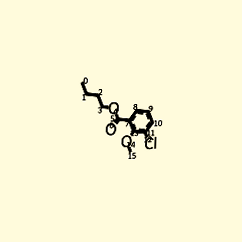 CCCCOC(=O)c1cccc(Cl)c1OC